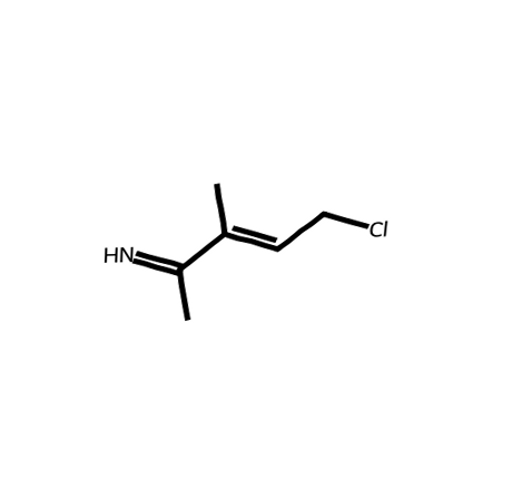 CC(=N)C(C)=CCCl